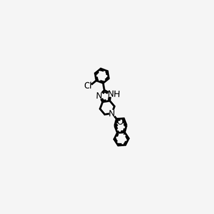 Clc1ccccc1-c1nc2c([nH]1)CN(c1cc3oc1c1ccccc31)CC2